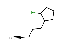 C#CCCCC1CCCC1F